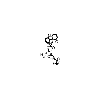 CC[C@@H](OC(=O)CNC(=O)C(F)(F)F)OC(=O)NC[C@@]1(c2ccccc2Cl)CCCCC1=O